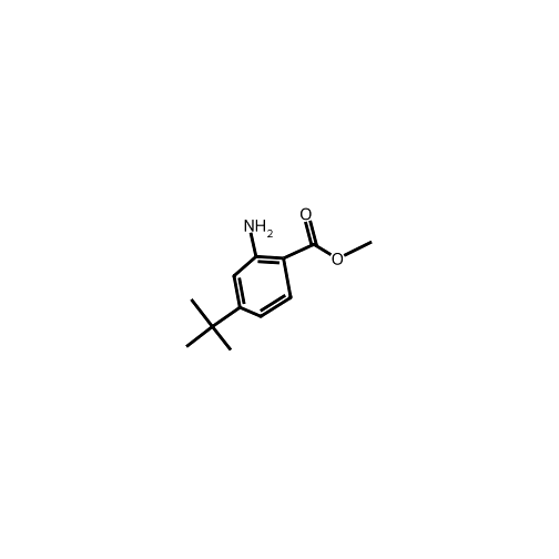 COC(=O)c1ccc(C(C)(C)C)cc1N